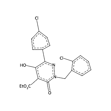 CCOC(=O)c1c(O)c(-c2ccc(Cl)cc2)nn(Cc2ccccc2Cl)c1=O